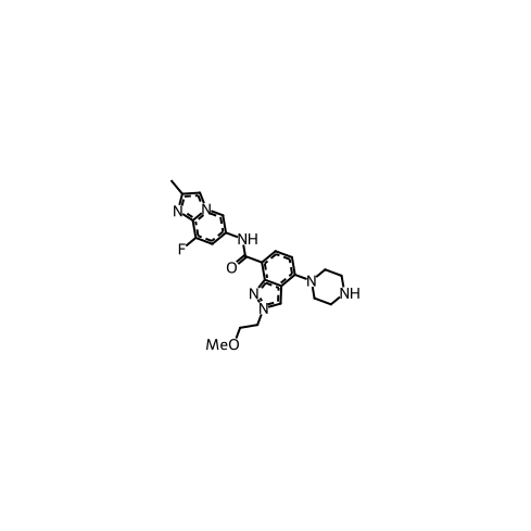 COCCn1cc2c(N3CCNCC3)ccc(C(=O)Nc3cc(F)c4nc(C)cn4c3)c2n1